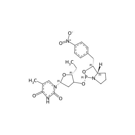 CC[C@H]1O[C@@H](n2cc(C)c(=O)[nH]c2=O)CC1O[P@]1O[C@H](Cc2ccc([N+](=O)[O-])cc2)[C@@H]2CCCN21